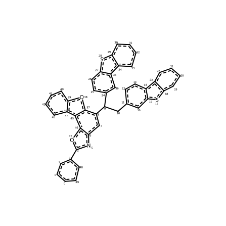 c1ccc(-c2nc3cc(C(Cc4ccc5c(c4)sc4ccccc45)c4ccc5sc6ccccc6c5c4)c4oc5ccccc5c4c3o2)cc1